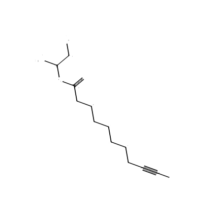 CCCCCCCCC#CCCCCCCCC(=O)NC(CO)CCC